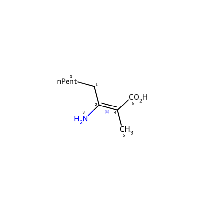 CCCCCC/C(N)=C(/C)C(=O)O